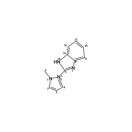 Cn1ccc[n+]1-c1nc2ccccc2[nH]1